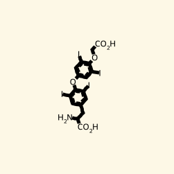 NC(Cc1cc(I)c(Oc2cc(I)c(OCC(=O)O)c(I)c2)c(I)c1)C(=O)O